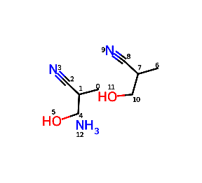 CC(C#N)CO.CC(C#N)CO.N